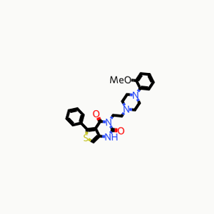 COc1ccccc1N1CCN(CCn2c(=O)[nH]c3csc(-c4ccccc4)c3c2=O)CC1